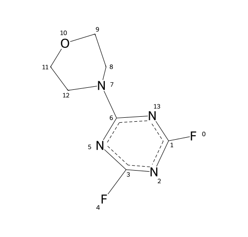 Fc1nc(F)nc(N2CCOCC2)n1